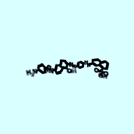 Nc1ccc(ONc2ccc3c(O)c(N=Nc4ccc(N=Nc5ccc6cccc(S(=O)(=O)O)c6c5)cc4)ccc3c2)cc1